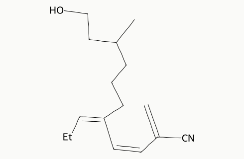 C=C(C#N)/C=C\C(=C/CC)CCCC(C)CCO